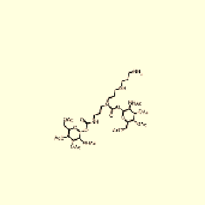 CC(=O)NC1C(OC(C)=O)[C@@H](OC(C)=O)C(COC(C)=O)O[C@H]1OC(=O)NCCCN(CCCNCCCN)C(=O)O[C@@H]1OC(COC(C)=O)[C@H](OC(C)=O)C(OC(C)=O)C1NC(C)=O